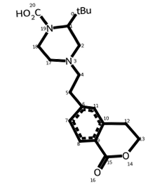 CC(C)(C)C1CN(CCc2ccc3c(c2)CCOC3=O)CCN1C(=O)O